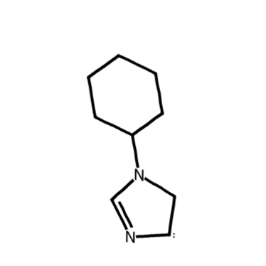 [C]1CN(C2CCCCC2)C=N1